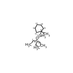 CC[Si](CC)(CC)O[SiH2]C1(C)CCCCC1